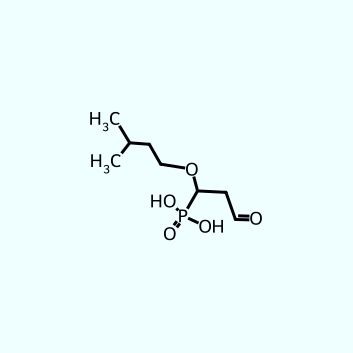 CC(C)CCOC(CC=O)P(=O)(O)O